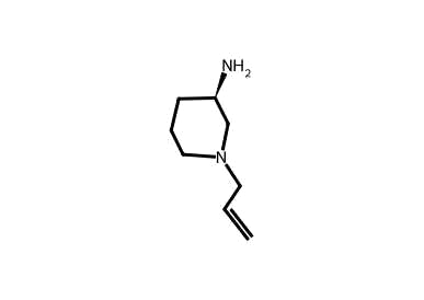 C=CCN1CCC[C@@H](N)C1